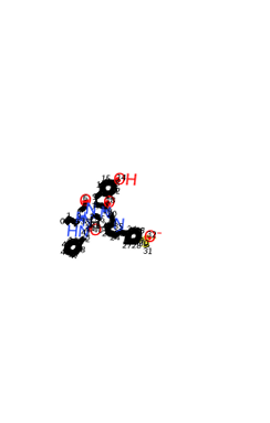 C=CCN1CC(=O)N2[C@@H](Cc3ccc(O)cc3)C(=O)N(Cc3cccc(-c4ccc([S+](C)[O-])cc4)n3)C[C@@H]2N1C(=O)NCc1ccccc1